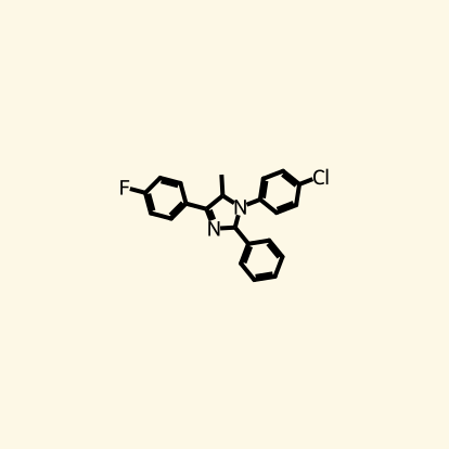 CC1C(c2ccc(F)cc2)=NC(c2ccccc2)N1c1ccc(Cl)cc1